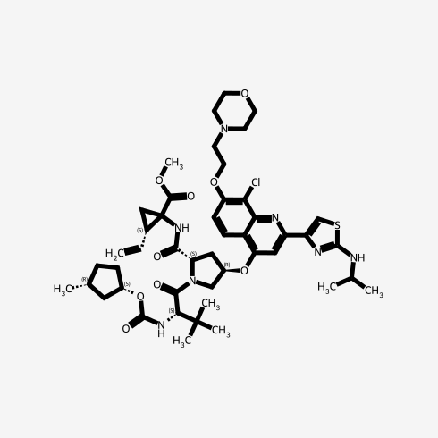 C=C[C@@H]1CC1(NC(=O)[C@@H]1C[C@@H](Oc2cc(-c3csc(NC(C)C)n3)nc3c(Cl)c(OCCN4CCOCC4)ccc23)CN1C(=O)[C@@H](NC(=O)O[C@H]1CC[C@@H](C)C1)C(C)(C)C)C(=O)OC